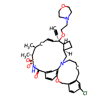 C#C[C@@]1(OCCN2CCOCC2)/C=C/C[C@H](C)[C@@H](C)S(=O)(=O)NC(=O)c2ccc3c(c2)N(CCCCc2cc(Cl)ccc2CO3)C[C@@H]2CC[C@H]21